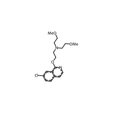 COCCN(CCOC)CCOc1nccc2ccc(Cl)cc12